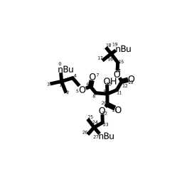 CCCCC(C)(C)COC(=O)CC(O)(CC(=O)OCC(C)(C)CCCC)C(=O)OCC(C)(C)CCCC